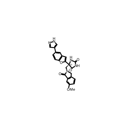 COc1ccc2c(c1)C(=O)N(C[C@@]1(c3cc4cc(-c5cn[nH]c5)ccc4o3)NC(=O)NC1=O)C2